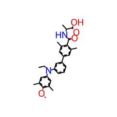 CCN(c1cccc(-c2cc(C)c(C(=O)NC(C)C(=O)O)c(C)c2)c1)c1cc(C)c(OC)c(C)c1